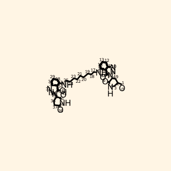 O=CC1CNC(=O)C(n2nnc3cccc(NCCCCCCCCCNc4cccc5nnn(C6CCC(=O)NC6=O)c(=O)c45)c3c2=O)C1